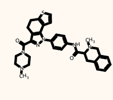 CN1CCN(C(=O)c2nn(-c3ccc(NC(=O)C4Cc5ccccc5CN4C)cc3)c3c2CCc2sccc2-3)CC1